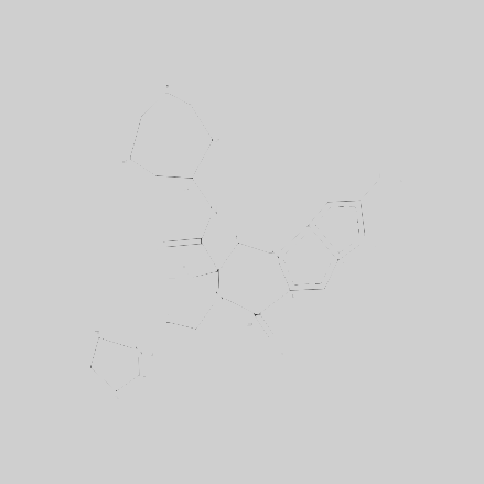 Cc1cc2c(cc3n2CC(C)(C(=O)NC2CCCCCC2)N(CCN2CCCC2)C3=O)o1